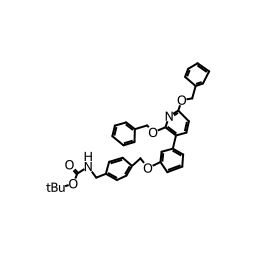 CC(C)(C)OC(=O)NCc1ccc(COc2cccc(-c3ccc(OCc4ccccc4)nc3OCc3ccccc3)c2)cc1